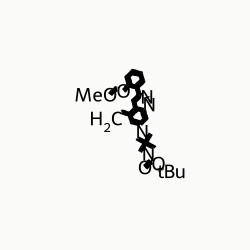 C=Cc1cc(N2CC3(CN(C(=O)OC(C)(C)C)C3)C2)cc2nnc(-c3ccccc3OCOC)cc12